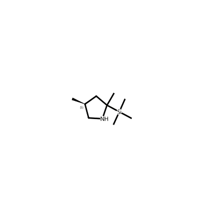 C[C@@H]1CNC(C)([Si](C)(C)C)C1